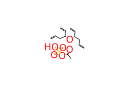 C=CCC(C=C)OC(C=C)CC=C.CC(=O)OS(=O)(=O)O